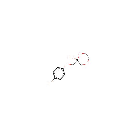 OC1(COc2ccc(Br)cc2)COCCO1